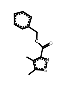 Cc1snc(C(=O)OCc2ccccc2)c1C